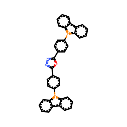 c1ccc2c(c1)c1ccccc1p2-c1ccc(-c2nnc(-c3ccc(-p4c5ccccc5c5ccccc54)cc3)o2)cc1